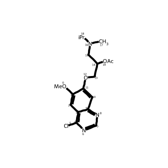 COc1cc2c(Cl)ncnc2cc1OCC(CN(C)C(C)C)OC(C)=O